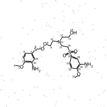 COc1ccc(SOOCCN(CCO)CCS(=O)(=O)c2ccc(OC)c(N)c2)cc1N